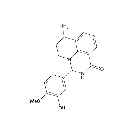 COc1ccc([C@H]2NC(=O)c3cccc4c3N2CC[C@@H]4N)cc1O